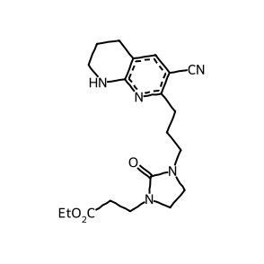 CCOC(=O)CCN1CCN(CCCc2nc3c(cc2C#N)CCCN3)C1=O